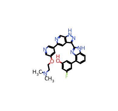 CN(C)CCOc1cncc(-c2cc3c(-c4nc5c(-c6cc(O)cc(F)c6)cccc5[nH]4)n[nH]c3cn2)c1